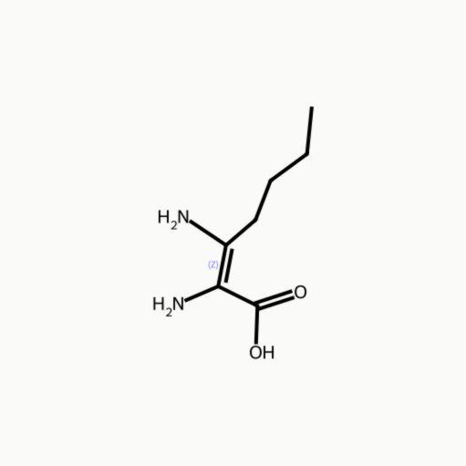 CCCC/C(N)=C(/N)C(=O)O